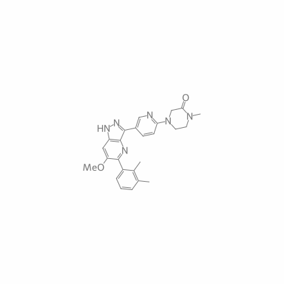 COc1cc2[nH]nc(-c3ccc(N4CCN(C)C(=O)C4)nc3)c2nc1-c1cccc(C)c1C